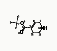 CC(C)(C)OC(=O)C1=CCNCC1